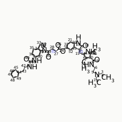 CCN(CC)CCNC(=O)c1c(C)[nH]c(/C=C2\C(=O)Nc3ccc(OC(=O)/C=C/C(=O)n4ncc5ccc(NC(=O)NCCc6ccccc6)cc54)cc32)c1C